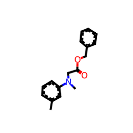 Cc1cccc(N(C)CC(=O)OCc2ccccc2)c1